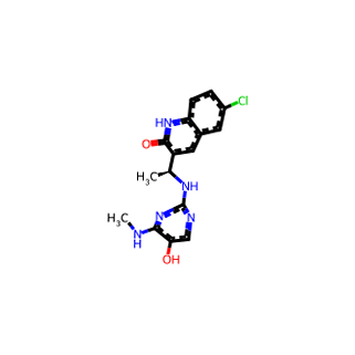 CNc1nc(N[C@@H](C)c2cc3cc(Cl)ccc3[nH]c2=O)ncc1O